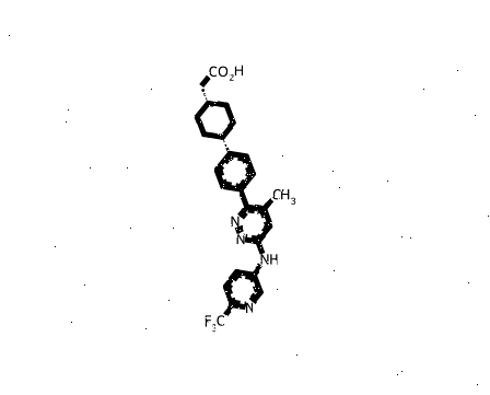 Cc1cc(Nc2ccc(C(F)(F)F)nc2)nnc1-c1ccc([C@H]2CC[C@@H](CC(=O)O)CC2)cc1